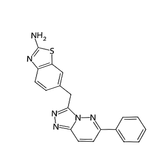 Nc1nc2ccc(Cc3nnc4ccc(-c5ccccc5)nn34)cc2s1